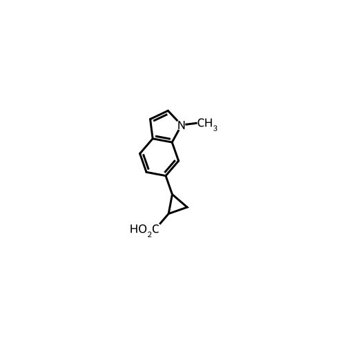 Cn1ccc2ccc(C3CC3C(=O)O)cc21